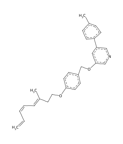 C=C/C=C\C=C(/C)CCOc1ccc(COc2cncc(-c3ccc(C)cc3)c2)cc1